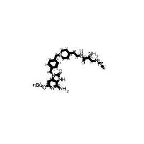 CCCCOc1cc2c([nH]c(=O)n2Cc2ccc(CN3CCC(CCNC(=O)C(N)CN=[N+]=[N-])CC3)cc2)c(N)n1